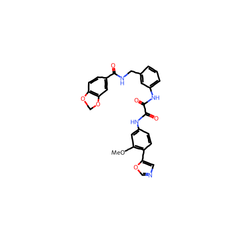 COc1cc(NC(=O)C(=O)Nc2cccc(CNC(=O)c3ccc4c(c3)OCO4)c2)ccc1-c1cnco1